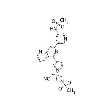 CS(=O)(=O)Nc1cncc(-c2cc3ncccc3c(-c3ccn(C4(CC#N)CN(S(C)(=O)=O)C4)n3)n2)c1